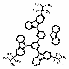 CC(C)C(C)(C)c1ccc2c(c1)c1ccccc1n2-c1cc(-c2cc(-n3c4ccccc4c4cc(C(C)(C)C(C)C)ccc43)cc(-n3c4ccccc4c4cc(C(C)(C)C(C)C)ccc43)c2)cc(-n2c3ccccc3c3ccccc32)c1